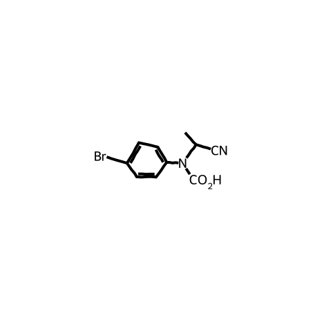 CC(C#N)N(C(=O)O)c1ccc(Br)cc1